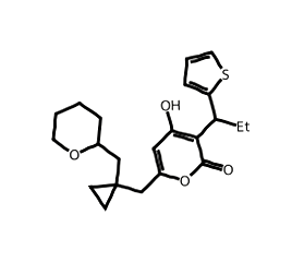 CCC(c1cccs1)c1c(O)cc(CC2(CC3CCCCO3)CC2)oc1=O